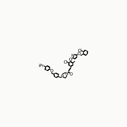 Cc1cc(C=CC(=O)N2CCN(Cc3ccc(COc4ccc(C(C)C)cc4)cc3)CC2)cc(Cl)c1Oc1ccc(OCc2ccccc2Cl)cn1